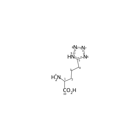 NC(CCCc1nnn[nH]1)C(=O)O